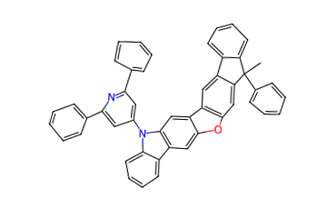 CC1(c2ccccc2)c2ccccc2-c2cc3c(cc21)oc1cc2c4ccccc4n(-c4cc(-c5ccccc5)nc(-c5ccccc5)c4)c2cc13